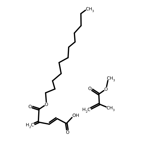 C=C(C)C(=O)OC.C=C(C=CC(=O)O)C(=O)OCCCCCCCCCCCC